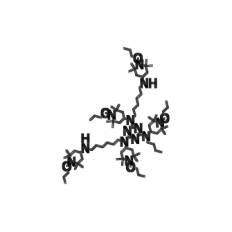 CCCCN(c1nc(N(CCCCCCNC2CC(C)(C)N(OCCC)C(C)(C)C2)C2CC(C)(C)N(OCCC)C(C)(C)C2)nc(N(CCCCCCNC2CC(C)(C)N(OCCC)C(C)(C)C2)C2CC(C)(C)N(OCCC)C(C)(C)C2)n1)C1CC(C)(C)N(OCCC)C(C)(C)C1